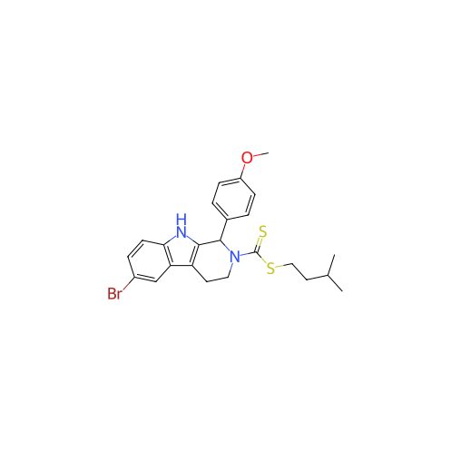 COc1ccc(C2c3[nH]c4ccc(Br)cc4c3CCN2C(=S)SCCC(C)C)cc1